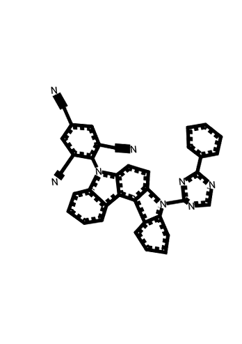 N#Cc1cc(C#N)c(-n2c3ccccc3c3c4c5ccccc5n(-c5ncnc(-c6ccccc6)n5)c4ccc32)c(C#N)c1